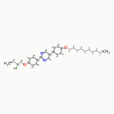 CCCCCCCCCCOc1ccc(-c2cnc(-c3ccc(OCC(F)CC)cc3)nc2)cc1